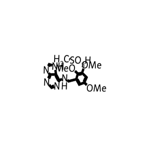 COc1cc(CNc2ncnc3nc[nH]c23)c(OC)c(OC)c1.CS(=O)(=O)O